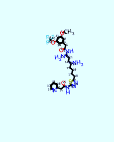 COc1cc(CC(=O)N/C(N)=C/C=C(\N)CCCCc2nnc(NC(=O)Cc3ccccn3)s2)cc(OC(F)(F)F)c1